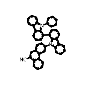 N#Cc1cc2ccc(-n3c4ccccc4c4cccc(-c5cccc6c7ccccc7n(-c7ccccc7)c56)c43)cc2c2ccccc12